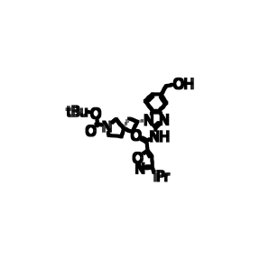 CC(C)c1cc(C(=O)Nc2nc3cc(CO)ccc3n2[C@H]2C[C@@]3(CCN(C(=O)OC(C)(C)C)C3)C2)on1